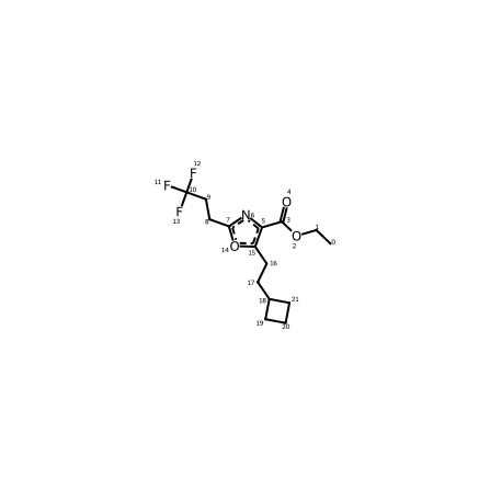 CCOC(=O)c1nc(CCC(F)(F)F)oc1CCC1CCC1